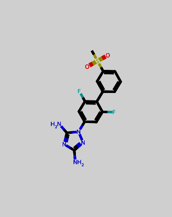 CS(=O)(=O)c1cccc(-c2c(F)cc(-n3nc(N)nc3N)cc2F)c1